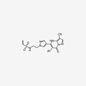 C=CS(=O)(=O)NCCn1cc(-c2[nH]c3c(C#N)cnn3c(=O)c2C(C)C)cn1